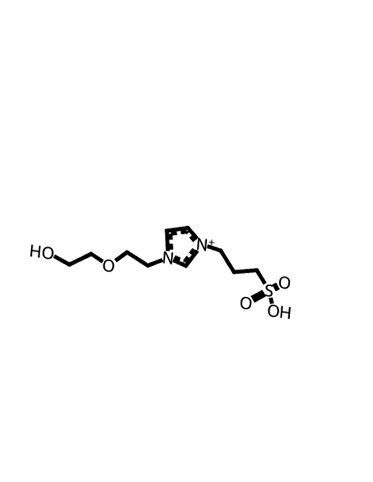 O=S(=O)(O)CCC[n+]1ccn(CCOCCO)c1